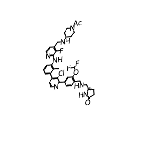 CC(=O)N1CCC(NCc2ccnc(Nc3cccc(-c4ccnc(-c5ccc(CNC[C@H]6CCC(=O)N6)c(OC(F)F)c5)c4Cl)c3C)c2F)CC1